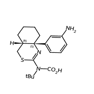 CC(C)(C)N(C(=O)O)C1=N[C@@]2(c3cccc(N)c3)CCCC[C@H]2CS1